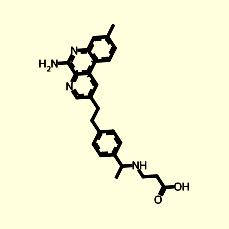 Cc1ccc2c(c1)nc(N)c1ncc(CCc3ccc(C(C)NCCC(=O)O)cc3)cc12